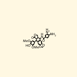 COc1cc([C@@H]2c3cc4c(cc3[C@H](NC(=O)c3ccc(N)c(N)c3)C3COC(=O)C32)OCO4)cc(OC)c1O